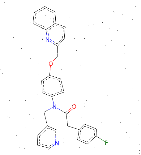 O=C(Cc1ccc(F)cc1)N(Cc1cccnc1)c1ccc(OCc2ccc3ccccc3n2)cc1